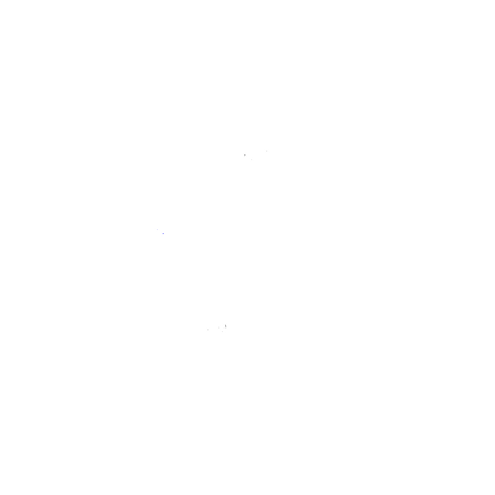 CNc1cc(N)c(CCNC(C)=O)c2c1C(=O)c1ccccc1C2=O